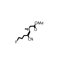 COC(=O)CN(C)C=C(C#N)CCCF